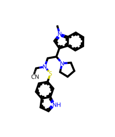 Cn1cc(C(CN(CC#N)Sc2ccc3cc[nH]c3c2)N2CCCC2)c2ccccc21